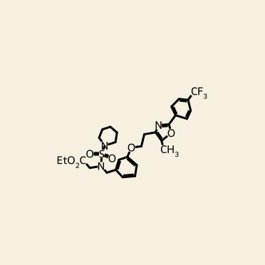 CCOC(=O)CN(Cc1cccc(OCCc2nc(-c3ccc(C(F)(F)F)cc3)oc2C)c1)S(=O)(=O)N1CCCCC1